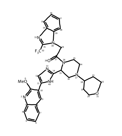 COc1nc2ccccc2cc1-c1cnc(C2CN(C3CCOCC3)CCN2C(=O)Cn2c(C(F)(F)F)nc3ccccc32)[nH]1